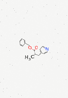 CC(Cc1ccncc1)C(=O)OCc1ccccc1